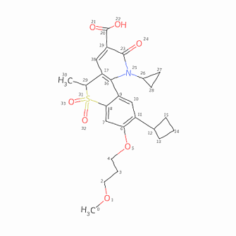 COCCCOc1cc2c(cc1C1CCC1)-c1c(cc(C(=O)O)c(=O)n1C1CC1)C(C)S2(=O)=O